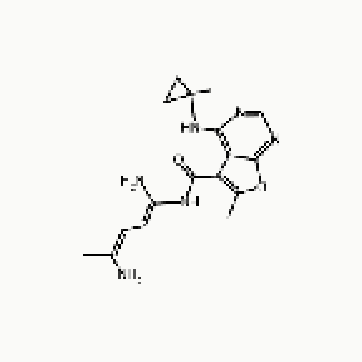 C/C(N)=C/C=C(\N)NC(=O)c1c(C)oc2ncnc(NC3(C)CC3)c12